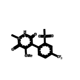 COc1c(-c2ccc(C(F)(F)F)cc2S(C)(=O)=O)c(=O)[nH]n(C)c1=O